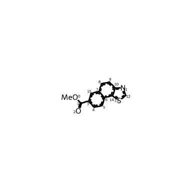 COC(=O)c1ccc2c(ccc3ncsc32)c1